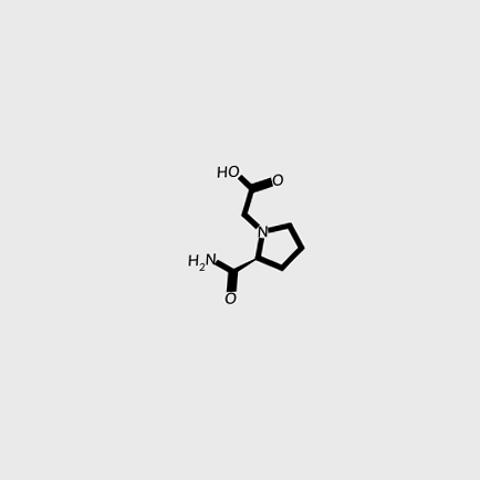 NC(=O)[C@@H]1CCCN1CC(=O)O